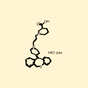 Cl.Cl.O=C(O)C1CCCN(CCCN2CCC(=C3c4ccccc4CSc4ccccc43)CC2)C1